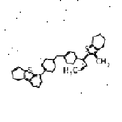 C=c1c2c(s/c1=C(/C=C\C)C1CC=C(CC3CC=C(c4cccc5c6c(sc45)C=CCC6)CC3)CC1)CCCC2